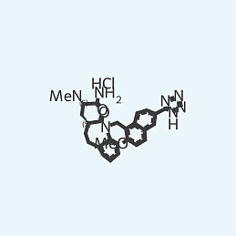 CN[C@@H](C[C@@H]1CCc2ccccc2N(Cc2c(OC)ccc3cc(-c4nnn[nH]4)ccc23)C1=O)C(N)=O.Cl